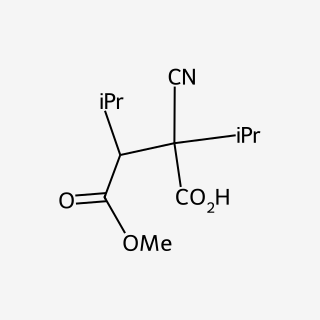 COC(=O)C(C(C)C)C(C#N)(C(=O)O)C(C)C